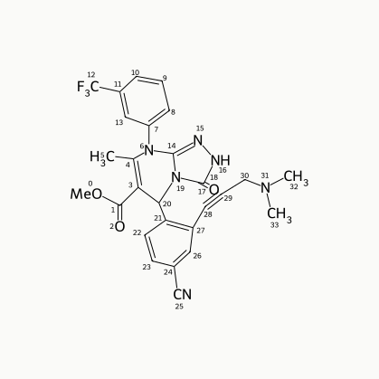 COC(=O)C1=C(C)N(c2cccc(C(F)(F)F)c2)c2n[nH]c(=O)n2C1c1ccc(C#N)cc1C#CCN(C)C